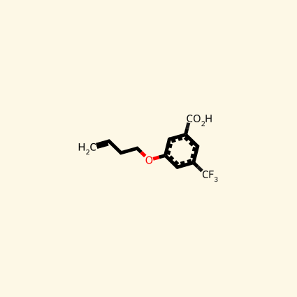 C=CCCOc1cc(C(=O)O)cc(C(F)(F)F)c1